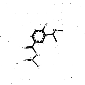 CNC(C)c1cc(C(=O)O[N+](=O)[O-])ccc1Cl